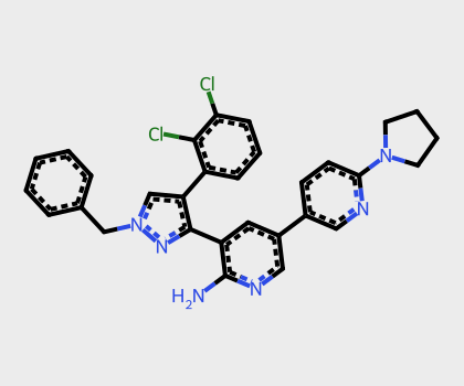 Nc1ncc(-c2ccc(N3CCCC3)nc2)cc1-c1nn(Cc2ccccc2)cc1-c1cccc(Cl)c1Cl